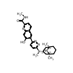 CNC(=O)c1ccc2cc(-c3ccc(N(C)[C@H]4C[C@]5(C)CCC[C@](C)(C4)N5)nn3)c(O)cc2n1